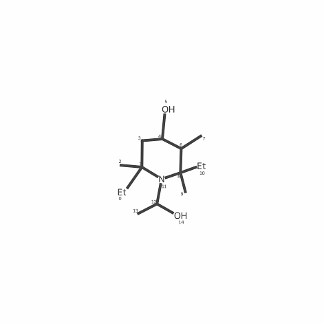 CCC1(C)CC(O)C(C)C(C)(CC)N1C(C)O